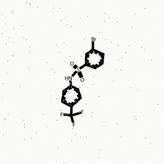 O=S(=O)(Nc1ccc(C(F)(F)F)cc1)c1cccc(Br)c1